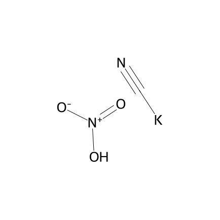 N#[C][K].O=[N+]([O-])O